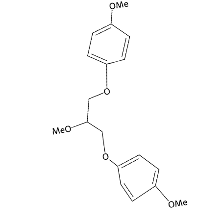 COc1ccc(OCC(COc2ccc(OC)cc2)OC)cc1